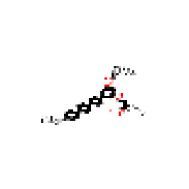 C=C(CO)CCOC1=CC(c2ccc(-c3ccc(C4CCC(CCCCCCCCC)CC4)cc3)cc2)CC(OCCOC)=C1